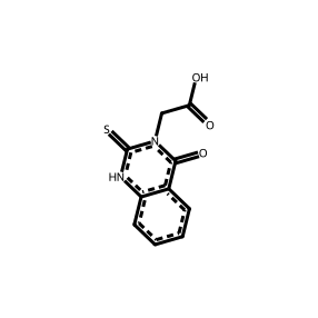 O=C(O)Cn1c(=S)[nH]c2ccccc2c1=O